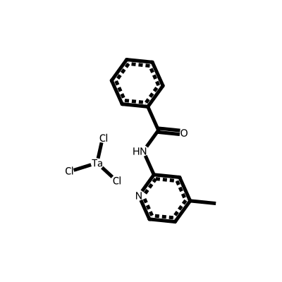 Cc1ccnc(NC(=O)c2ccccc2)c1.[Cl][Ta]([Cl])[Cl]